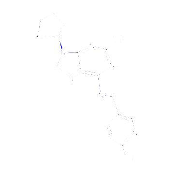 Cc1ccc(CNc2nc(Cl)nc3c2ncn3[C@H]2CCCS2)cn1